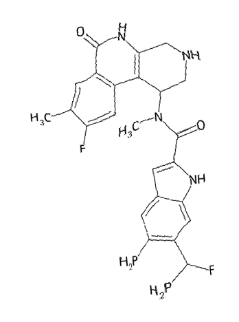 Cc1cc2c(=O)[nH]c3c(c2cc1F)C(N(C)C(=O)c1cc2cc(P)c(C(F)P)cc2[nH]1)CNC3